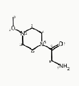 CON1CCN(C(=O)CN)CC1